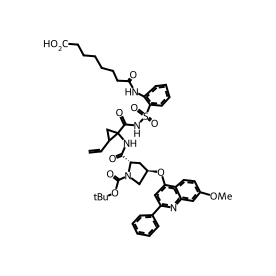 C=CC1CC1(NC(=O)[C@@H]1C[C@@H](Oc2cc(-c3ccccc3)nc3cc(OC)ccc23)CN1C(=O)OC(C)(C)C)C(=O)NS(=O)(=O)c1ccccc1NC(=O)CCCCCCC(=O)O